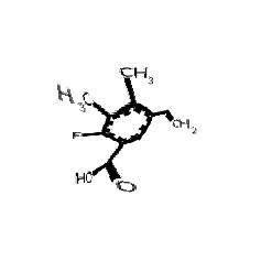 C=Cc1cc(C(=O)O)c(F)c(C)c1C